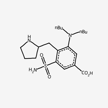 CCCCN(CCCC)c1cc(C(=O)O)cc(S(N)(=O)=O)c1CC1CCCN1